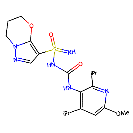 COc1cc(C(C)C)c(NC(=O)NS(=N)(=O)c2cnn3c2OCCC3)c(C(C)C)n1